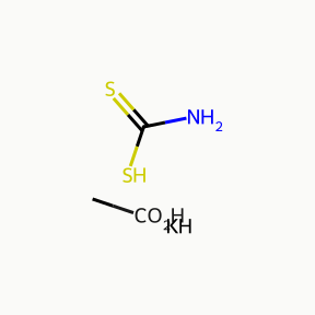 CC(=O)O.NC(=S)S.[KH]